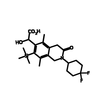 Cc1c2c(c(C)c([Si](C)(C)C)c1C(O)C(=O)O)CN(C1CCC(F)(F)CC1)C(=O)C2